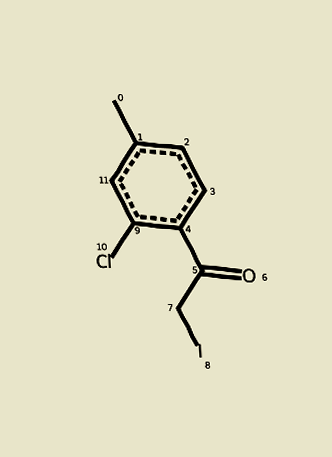 Cc1ccc(C(=O)CI)c(Cl)c1